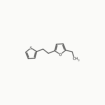 CCc1ccc(CCc2cccs2)o1